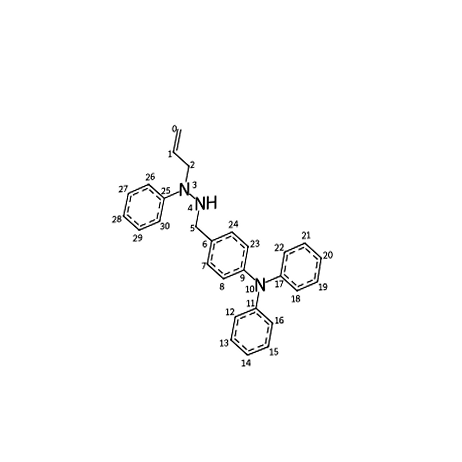 C=CCN(NCc1ccc(N(c2ccccc2)c2ccccc2)cc1)c1ccccc1